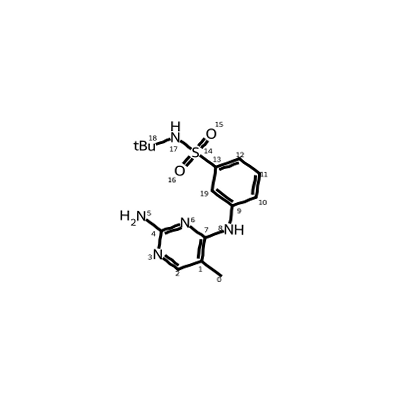 Cc1cnc(N)nc1Nc1cccc(S(=O)(=O)NC(C)(C)C)c1